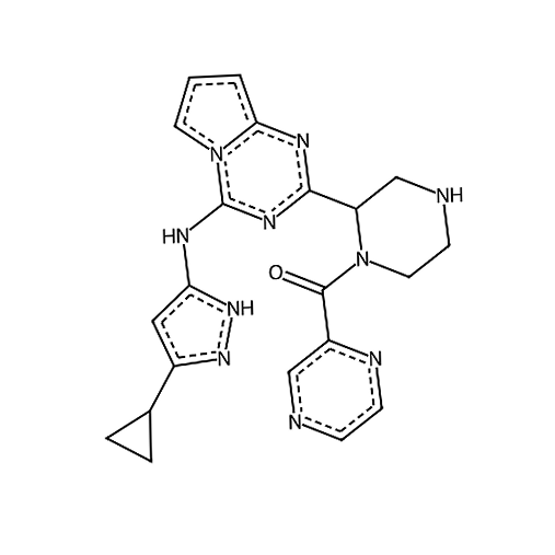 O=C(c1cnccn1)N1CCNCC1c1nc(Nc2cc(C3CC3)n[nH]2)n2cccc2n1